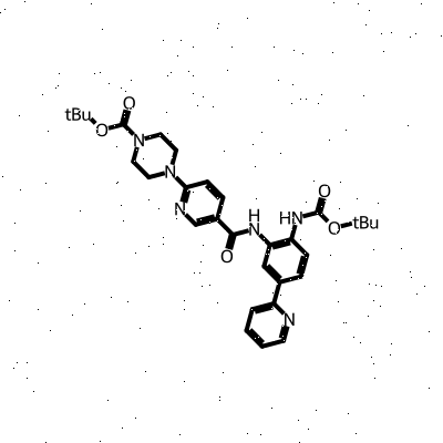 CC(C)(C)OC(=O)Nc1ccc(-c2ccccn2)cc1NC(=O)c1ccc(N2CCN(C(=O)OC(C)(C)C)CC2)nc1